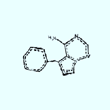 Nc1ncnn2ccc(-c3ccccc3)c12